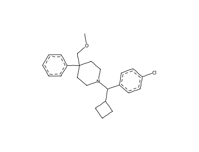 COCC1(c2ccccc2)CCN(C(c2ccc(Cl)cc2)C2CCC2)CC1